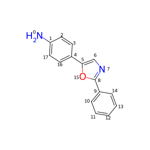 Nc1ccc(-c2cnc(-c3ccccc3)o2)cc1